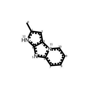 Cc1cc2c(nc3ccccn32)[nH]1